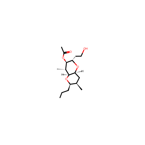 CCC[C@H]1O[C@H]2[C@H](C)[C@@H](OC(C)=O)[C@H](CCO)O[C@H]2C[C@H]1C